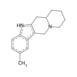 Cc1ccc2[nH]c3c(c2c1)CN1CCCCC1C3